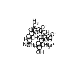 C[C@H](CCC(=O)[O-])[C@H]1CCC2C3CC[C@@H]4C[C@H](O)CC[C@]4(C)C3C[C@H](O)[C@@]21C.C[C@H](CCC(=O)[O-])[C@H]1CCC2C3CC[C@@H]4C[C@H](O)CC[C@]4(C)C3C[C@H](O)[C@@]21C.[Na+].[Na+]